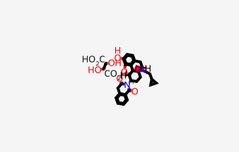 O=C(O)C(O)C(O)C(=O)O.O=C1Cc2ccccc2C(=O)N1[C@@H]1CCC2(O)[C@H]3Cc4ccc(O)c5c4[C@@]2(CCN3CC2CC2)[C@H]1O5